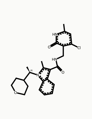 Cc1cc(Cl)c(CNC(=O)c2c(C)n([C@H](C)C3CCOCC3)c3ccccc23)c(=O)[nH]1